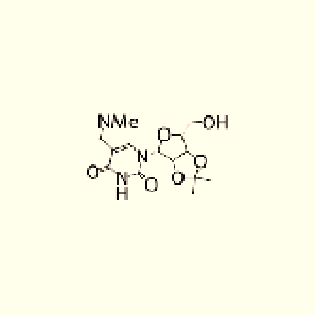 CNCc1cn([C@@H]2O[C@H](CO)C3OC(C)(C)OC32)c(=O)[nH]c1=O